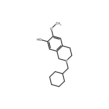 COc1cc2c(cc1O)CN(CC1CCCCC1)CC2